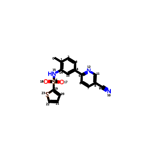 Cc1ccc(-c2ccc(C#N)cn2)cc1NS(=O)(=O)c1cccs1